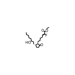 CCCCCC(O)CC[C@H]1CCC(=O)[C@@H]1CCCCC=C(F)C(=O)OCC